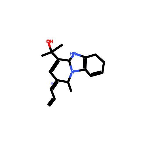 C=C/C=C1/C=C(C(C)(C)O)C2NC3=C(C=CCC3)N2C1C